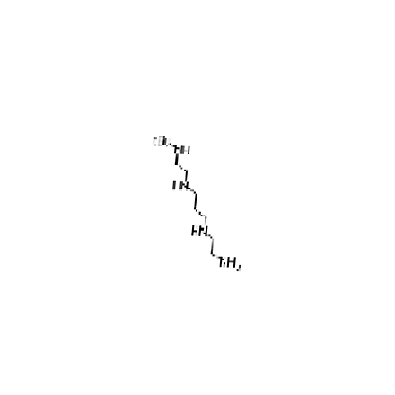 CC(C)(C)NCCNCCCNCCN